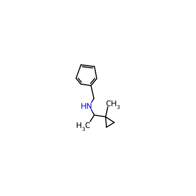 CC(NCc1ccccc1)C1(C)CC1